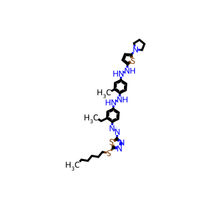 CCCCCCSc1nnc(/N=N/c2ccc(NNc3ccc(NNc4ccc(N5CCCC5)s4)cc3C)cc2CC)s1